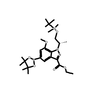 CCOC(=O)c1nn([C@@H](C)CO[Si](C)(C)C(C)(C)C)c2c(OC)cc(B3OC(C)(C)C(C)(C)O3)cc12